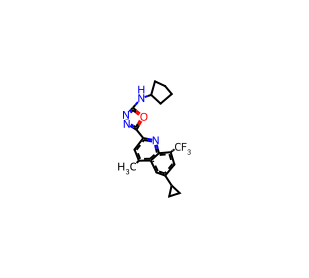 Cc1cc(-c2nnc(NC3CCCC3)o2)nc2c(C(F)(F)F)cc(C3CC3)cc12